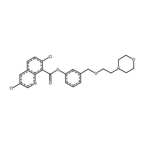 O=C(Oc1cccc(COCCN2CCOCC2)c1)c1c(Cl)ccc2cc(Cl)cnc12